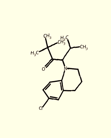 CC(C)C(C(=O)C(C)(C)C)N1CCCc2cc(Cl)ccc21